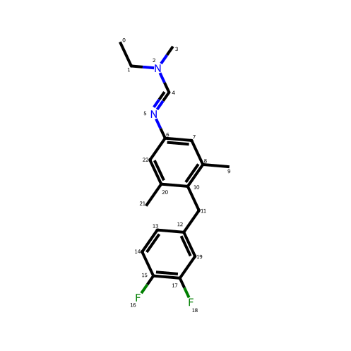 CCN(C)C=Nc1cc(C)c(Cc2ccc(F)c(F)c2)c(C)c1